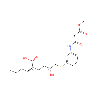 CCCC[C@H](CC[C@@H](O)CSC1=CC(NC(=O)CC(=O)OC)=CCC1)C(=O)O